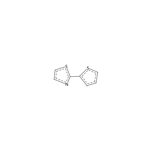 [c]1ccsc1-c1nccs1